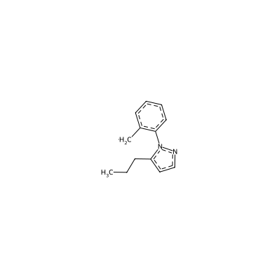 [CH2]c1ccccc1-n1nccc1CCC